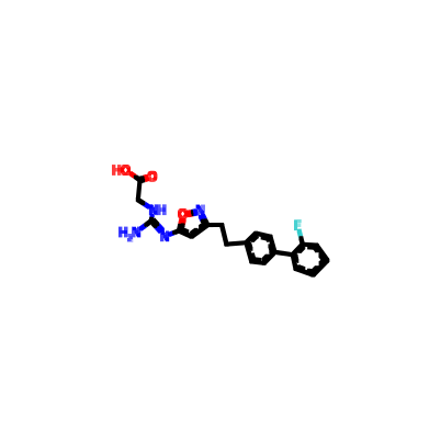 NC(=Nc1cc(CCc2ccc(-c3ccccc3F)cc2)no1)NCC(=O)O